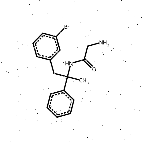 CC(Cc1cccc(Br)c1)(NC(=O)CN)c1ccccc1